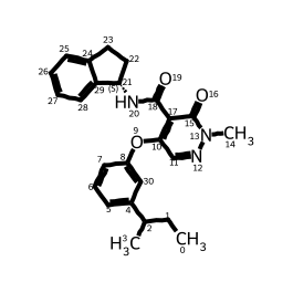 CCC(C)c1cccc(Oc2cnn(C)c(=O)c2C(=O)N[C@H]2CCc3ccccc32)c1